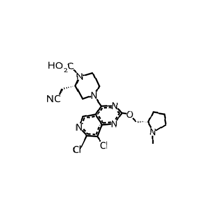 CN1CCC[C@H]1COc1nc(N2CCN(C(=O)O)[C@@H](CC#N)C2)c2cnc(Cl)c(Cl)c2n1